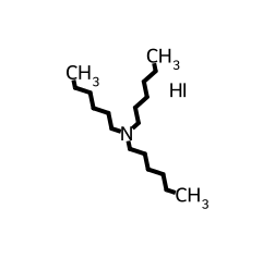 CCCCCCN(CCCCCC)CCCCCC.I